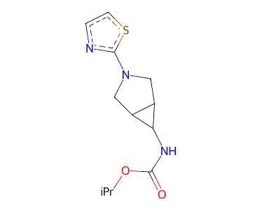 CC(C)OC(=O)NC1C2CN(c3nccs3)CC21